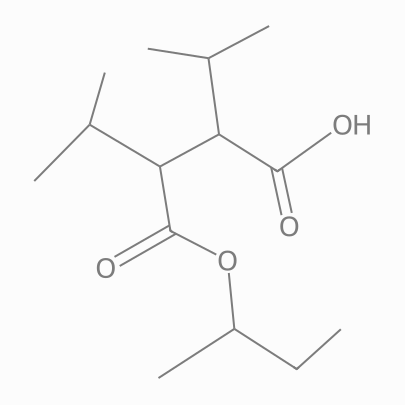 CCC(C)OC(=O)C(C(C)C)C(C(=O)O)C(C)C